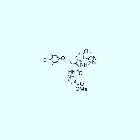 COC(=O)c1ccnc(NC(=O)c2[nH]c3c(-c4c(C)nn(C)c4C)c(Cl)ccc3c2CCCOc2cc(C)c(Cl)c(C)c2)c1